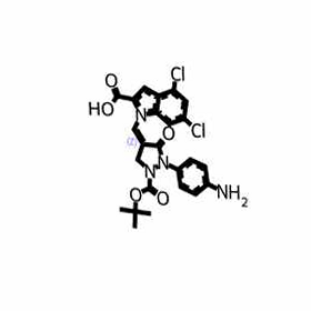 CC(C)(C)OC(=O)N1C/C(=C/n2c(C(=O)O)cc3c(Cl)cc(Cl)cc32)C(=O)N1c1ccc(N)cc1